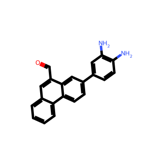 Nc1ccc(-c2ccc3c(c2)c(C=O)cc2ccccc23)cc1N